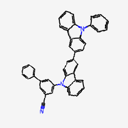 N#Cc1cc(-c2ccccc2)cc(-n2c3ccccc3c3cc(-c4ccc5c(c4)c4ccccc4n5-c4ccccc4)ccc32)c1